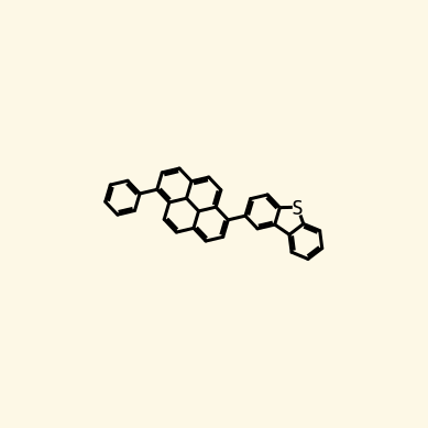 C1=CC2=C(c3ccccc3)C=CC3=CC=C4C(c5ccc6sc7ccccc7c6c5)=CC=C1C4C32